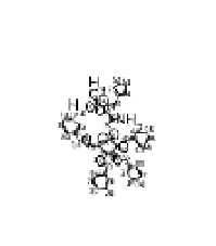 CC1(C)O[C@@H]([C@@H](N)COC2OC(COCc3ccccc3)C(OCc3ccccc3)C(OCc3ccccc3)C2OCc2ccccc2)[C@@H](CC2CCCC2)O1